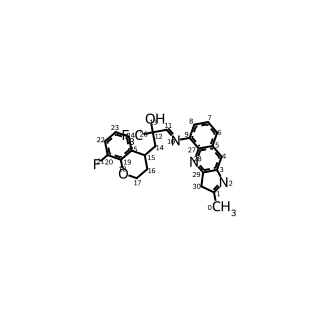 CC1=Nc2cc3cccc(N=CC(O)(CC4CCOc5c(F)cccc54)C(F)(F)F)c3nc2C1